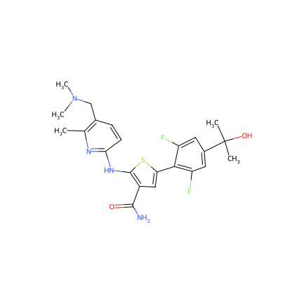 Cc1nc(Nc2sc(-c3c(F)cc(C(C)(C)O)cc3F)cc2C(N)=O)ccc1CN(C)C